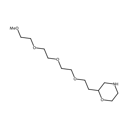 COCCOCCOCCOCCC1CNCCO1